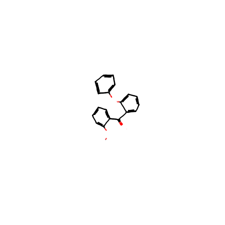 O=C(O)Oc1ccccc1C(=O)c1ccccc1Oc1ccccc1